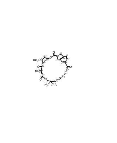 CC1(C)CCCCCOC(=O)c2ccc3c(c2)CN(C3)C(=O)O[C@@H]2CC(C(=O)O)N(C2)C(=O)[C@H](C(C)(C)C)NC(=O)OC1